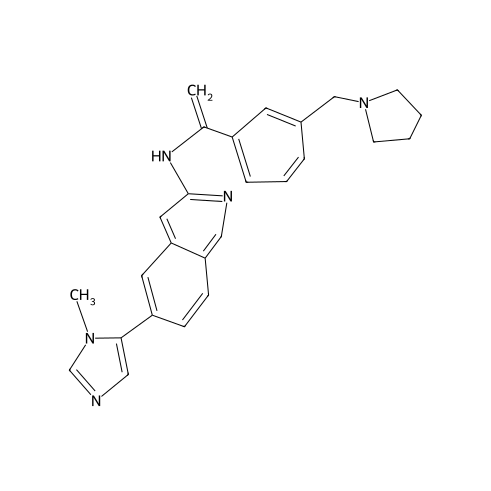 C=C(Nc1cc2cc(-c3cncn3C)ccc2cn1)c1cccc(CN2CCCC2)c1